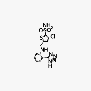 NS(=O)(=O)c1sc(CNc2ccccc2-c2nnn[nH]2)cc1Cl